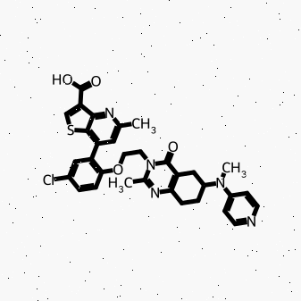 Cc1cc(-c2cc(Cl)ccc2OCCn2c(C)nc3c(c2=O)CC(N(C)c2ccncc2)CC3)c2scc(C(=O)O)c2n1